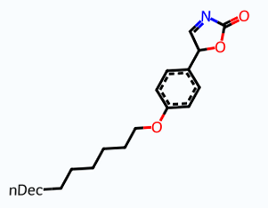 CCCCCCCCCCCCCCCCOc1ccc(C2C=NC(=O)O2)cc1